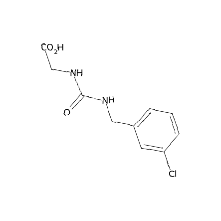 O=C(O)CNC(=O)NCc1cccc(Cl)c1